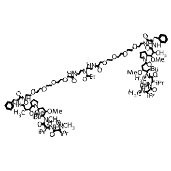 CCC(=O)N(CCNC(=O)COCCOCCOCCOCCNC(=O)[C@H](Cc1ccccc1)NC(=O)C(C)C(OC)C1CCCN1C(=O)CC(OC)C(C(C)CC)N(C)C(=O)[C@@H](NC(=O)C(C(C)C)N(C)C)C(C)C)CCNC(=O)COCCOCCOCCOCCNC(=O)[C@H](Cc1ccccc1)NC(=O)C(C)C(OC)C1CCCN1C(=O)CC(OC)C(C(C)CC)N(C)C(=O)[C@@H](NC(=O)C(C(C)C)N(C)C)C(C)C